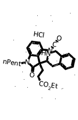 CCCCCN1C(=O)C(CCC(=O)OCC)(C2Cc3ccccc3CN2)c2c(N=C=O)cccc21.Cl